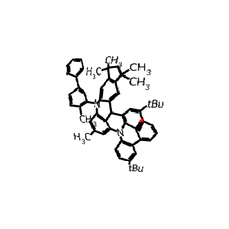 Cc1cc2c3c(c1)N(c1ccc(C(C)(C)C)cc1-c1ccccc1)c1ccc(C(C)(C)C)cc1C3c1cc3c(cc1N2c1cc(-c2ccccc2)ccc1C)C(C)(C)CC3(C)C